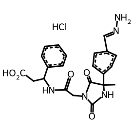 CC1(c2ccc(C=NN)cc2)NC(=O)N(CC(=O)NC(CC(=O)O)c2ccccc2)C1=O.Cl